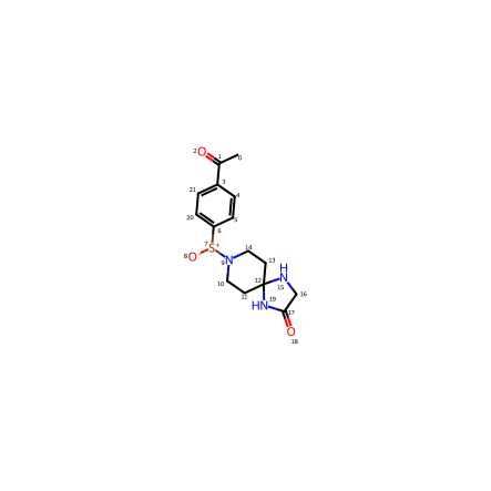 CC(=O)c1ccc([S+]([O-])N2CCC3(CC2)NCC(=O)N3)cc1